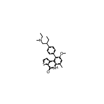 CCC(CN(C)CC)c1ccc(-c2c(OC)cc(C)c3[nH]c(=O)c4sccc4c23)cc1